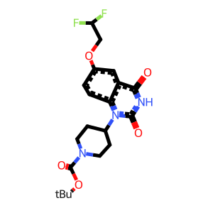 CC(C)(C)OC(=O)N1CCC(n2c(=O)[nH]c(=O)c3cc(OCC(F)F)ccc32)CC1